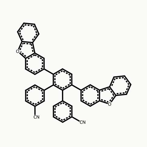 N#Cc1cccc(-c2c(-c3ccc4oc5ccccc5c4c3)ccc(-c3ccc4oc5ccccc5c4c3)c2-c2cccc(C#N)c2)c1